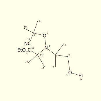 CCOCC(C)(C)N(OC(C)(C)C#N)C(C)(C)C(=O)OCC